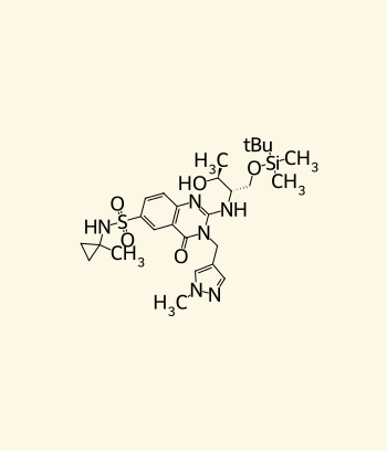 C[C@H](O)[C@H](CO[Si](C)(C)C(C)(C)C)Nc1nc2ccc(S(=O)(=O)NC3(C)CC3)cc2c(=O)n1Cc1cnn(C)c1